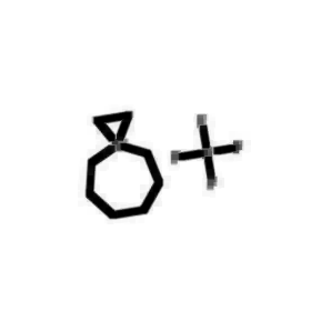 C1CCC[N+]2(CC1)CC2.F[B-](F)(F)F